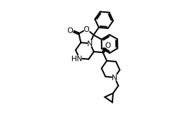 O=C1OC(c2ccccc2)(c2ccccc2)N2C1CNCC2C(=O)C1CCN(CC2CC2)CC1